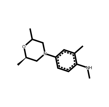 CNc1ccc(N2CC(C)O[C@H](C)C2)cc1C